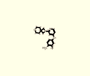 Cc1ccc(Oc2ccnc(N3CC4(CCOCC4)C3)c2)cc1F